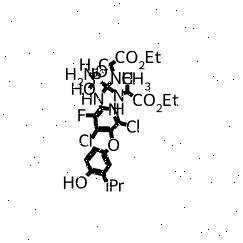 CCOC(=O)C(C)NC(Nc1nc(Cl)c(Oc2ccc(O)c(C(C)C)c2)c(Cl)c1F)(NC(C)C(=O)OCC)P(N)(=O)O